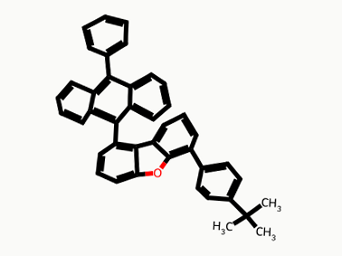 CC(C)(C)c1ccc(-c2cccc3c2oc2cccc(-c4c5ccccc5c(-c5ccccc5)c5ccccc45)c23)cc1